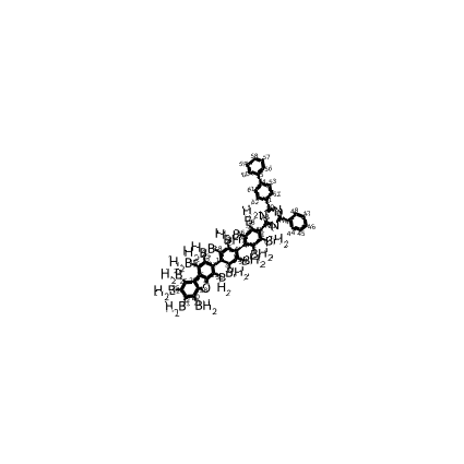 Bc1c(B)c(-c2c(B)c(B)c(-c3c(B)c(B)c4c(oc5c(B)c(B)c(B)c(B)c54)c3B)c(B)c2B)c(B)c(B)c1-c1nc(-c2ccccc2)nc(-c2ccc(-c3ccccc3)cc2)n1